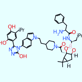 CC(C)C[C@H](NC(=O)[C@@H](N)Cc1ccccc1)B1O[C@H]2C[C@@H]3C(C3(C)C)[C@@]2(CC(=O)N2CCC(CCn3ccc4cc(-n5c(O)nnc5-c5cc(C(C)C)c(O)cc5O)ccc43)CC2)O1